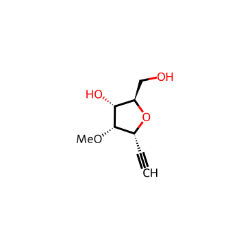 C#C[C@H]1O[C@H](CO)[C@@H](O)[C@H]1OC